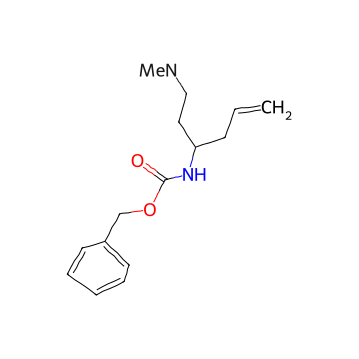 C=CCC(CCNC)NC(=O)OCc1ccccc1